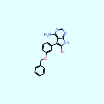 Nc1ncnc2[nH]c(Br)c(-c3cccc(OCc4ccccc4)c3)c12